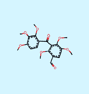 COc1ccc(C(=O)c2c(OC)c([C]=O)cc(OC)c2OC)c(OC)c1OC